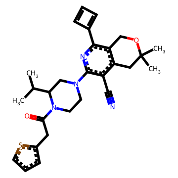 CC(C)C1CN(c2nc(C3=CC=C3)c3c(c2C#N)CC(C)(C)OC3)CCN1C(=O)Cc1cccs1